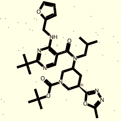 Cc1nnc([C@@H]2CC(N(CC(C)C)C(=O)c3cnc(C(C)(C)C)nc3NCc3ccco3)CN(C(=O)OC(C)(C)C)C2)o1